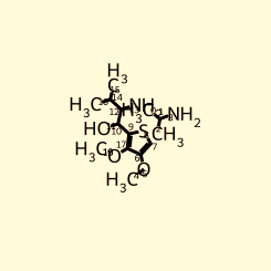 CC(C)N.COc1csc(C(O)C(N)C(C)C)c1OC